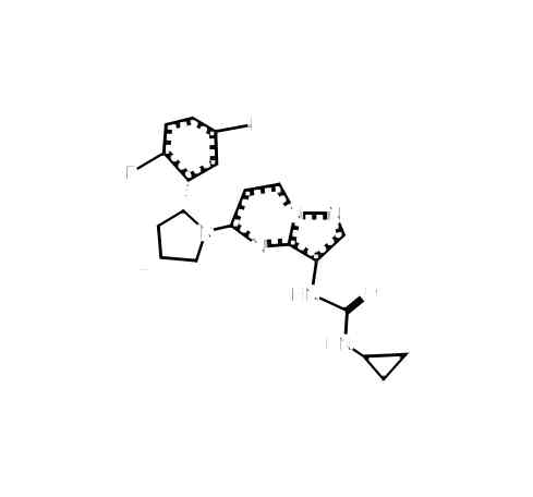 O=C(Nc1cnn2ccc(N3C[C@H](F)C[C@@H]3c3cc(F)ccc3F)nc12)NC1CC1